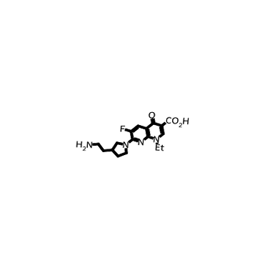 CCn1cc(C(=O)O)c(=O)c2cc(F)c(N3CCC(CCN)C3)nc21